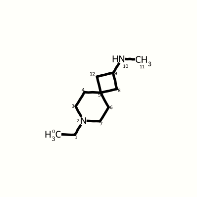 CCN1CCC2(CC1)CC(NC)C2